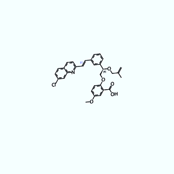 C=C(C)CO[C@@H](COc1ccc(OC)cc1C(=O)O)c1cccc(/C=C/c2ccc3ccc(Cl)cc3n2)c1